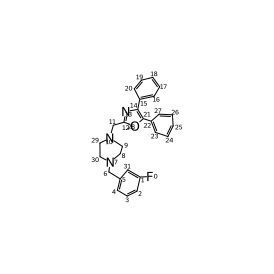 Fc1cccc(CN2CCN(Cc3nc(-c4ccccc4)c(-c4ccccc4)o3)CC2)c1